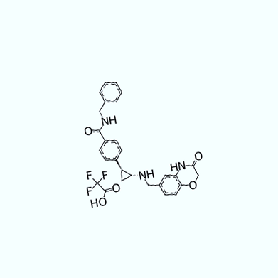 O=C(O)C(F)(F)F.O=C1COc2ccc(CN[C@@H]3C[C@H]3c3ccc(C(=O)NCc4ccccc4)cc3)cc2N1